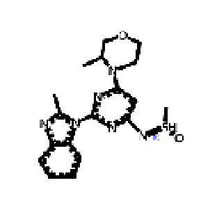 Cc1nc2ccccc2n1-c1nc(/N=[SH](\C)=O)cc(N2CCOCC2C)n1